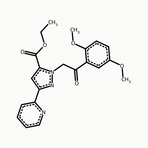 CCOC(=O)c1cc(-c2ccccn2)nn1CC(=O)c1cc(OC)ccc1OC